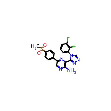 CS(=O)(=O)c1ccc(-c2cnc(N)c(-c3nncn3-c3cccc(F)c3F)n2)cc1